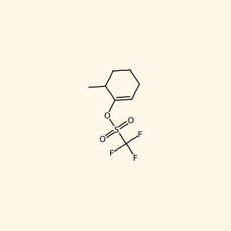 CC1CCCC=C1OS(=O)(=O)C(F)(F)F